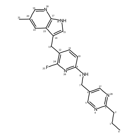 CCCc1ncc(CNc2ccc(Cc3c[nH]c4ncc(C)cc34)c(F)n2)cn1